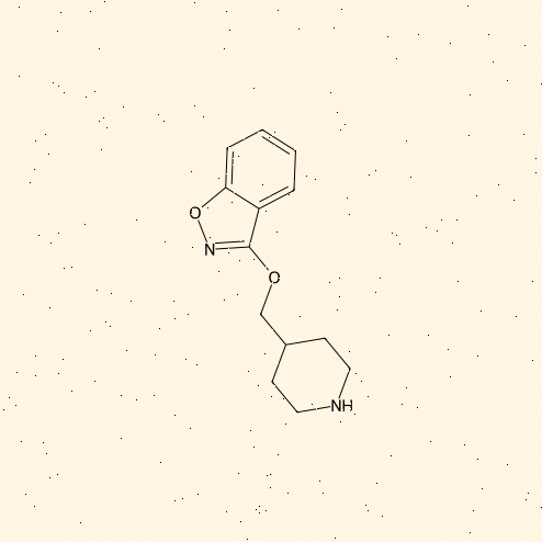 c1ccc2c(OCC3CCNCC3)noc2c1